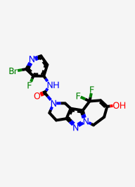 O=C(Nc1ccnc(Br)c1F)N1CCc2nn3c(c2C1)C(F)(F)C=C(O)CC3